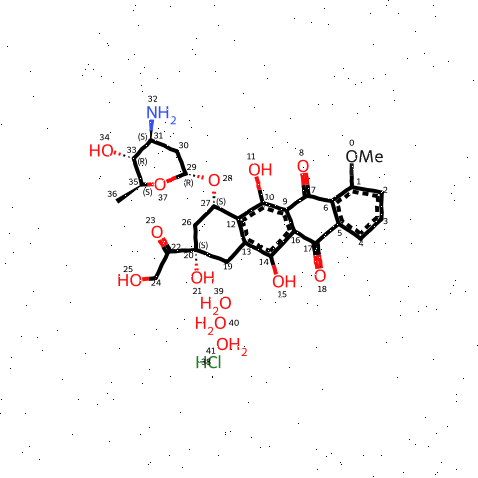 COc1cccc2c1C(=O)c1c(O)c3c(c(O)c1C2=O)C[C@@](O)(C(=O)CO)C[C@@H]3O[C@H]1C[C@H](N)[C@@H](O)[C@H](C)O1.Cl.O.O.O